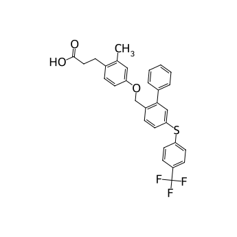 Cc1cc(OCc2ccc(Sc3ccc(C(F)(F)F)cc3)cc2-c2ccccc2)ccc1CCC(=O)O